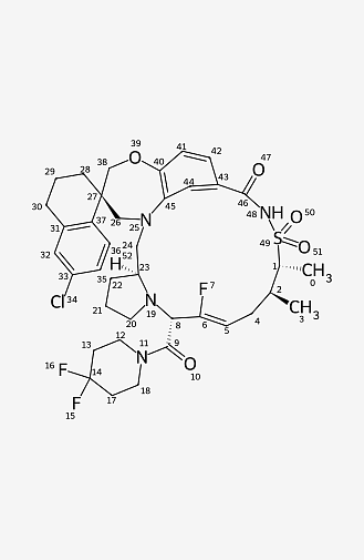 C[C@@H]1[C@@H](C)C/C=C(\F)[C@H](C(=O)N2CCC(F)(F)CC2)N2CCC[C@H]2CN2C[C@@]3(CCCc4cc(Cl)ccc43)COc3ccc(cc32)C(=O)NS1(=O)=O